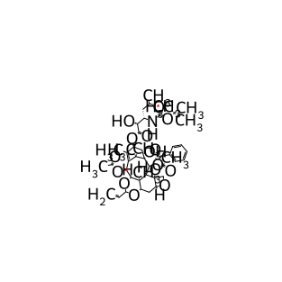 C=CC1OC2C[C@H]3OC[C@@]3(OC(C)=O)[C@H]3[C@H](OC(=O)c4ccccc4)[C@]4(O)C[C@H](OC(=O)[C@@H](O)[C@H](CC(C)C)NC(=O)OC(C)(C)C)C(C)=C([C@H](OC(C)=O)[C@H](O1)[C@]23C)C4(C)C